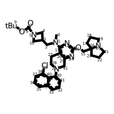 CN(CC1CN(C(=O)OC(C)(C)C)C1)c1nc(OCC23CCCN2CCC3)nc2c1CCN(c1cccc3cccc(Cl)c13)C2